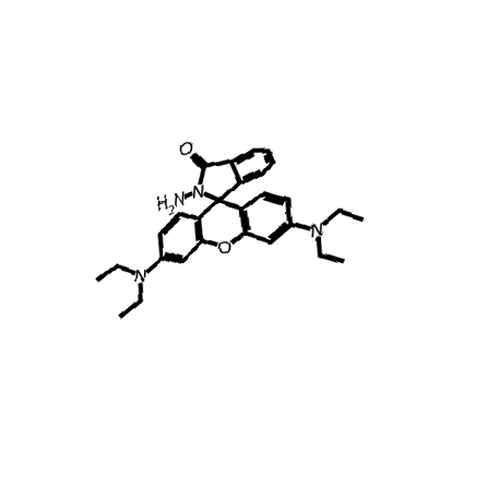 CCN(CC)c1ccc2c(c1)Oc1cc(N(CC)CC)ccc1C21c2ccccc2C(=O)N1N